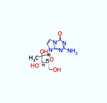 CC1(O)[C@@H](O)[C@@H](CO)O[C@H]1n1ccn2c(=O)nc(N)nc12